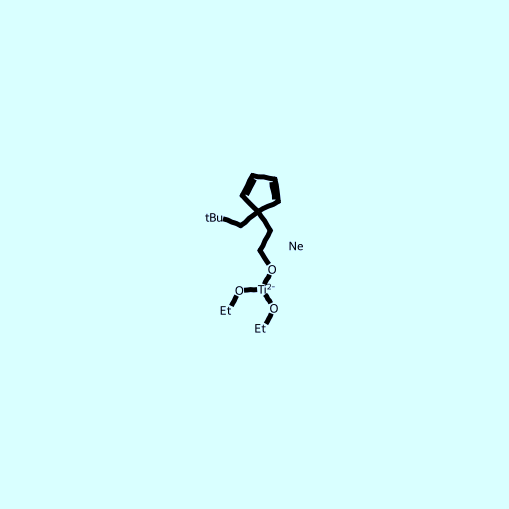 CC[O][Ti-2]([O]CC)[O]CCC1(CC(C)(C)C)C=CC=C1.[Ne]